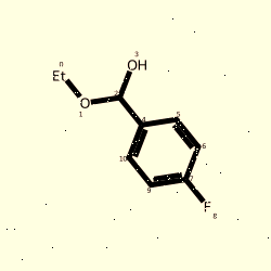 CCOC(O)c1ccc(F)cc1